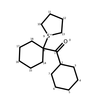 O=C(C1CCCCC1)C1([S+]2CCCC2)CCCCC1